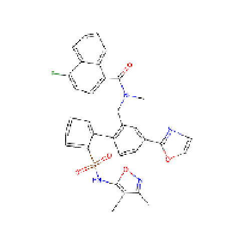 Cc1noc(NS(=O)(=O)c2ccccc2-c2ccc(-c3ncco3)cc2CN(C)C(=O)c2ccc(F)c3ccccc23)c1C